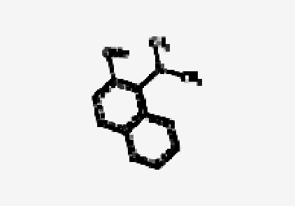 COc1ccc2ccccc2c1N(C)C